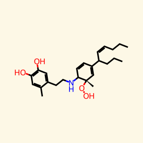 CCC/C=C\C(CCC)C1=C[C@](C)(OO)C(NCCc2cc(O)c(O)cc2C)C=C1